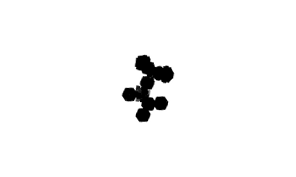 CC1(C)c2cc3c4cc5c(cc4n(-c4ccc(-c6nc(-c7ccccc7)nc(-c7cc(-c8ccccc8)cc(-c8ccccc8)c7)n6)cc4)c3cc2C(C)(C)C1(C)C)C(C)(C)C(C)(C)C5(C)C